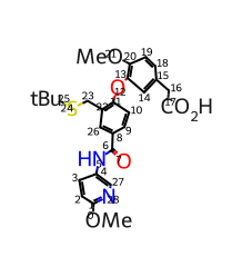 COc1ccc(NC(=O)c2ccc(Oc3cc(CC(=O)O)ccc3OC)c(CSC(C)(C)C)c2)cn1